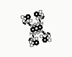 O=C1c2c(NCCN3CCOC3c3c(Cl)cccc3Cl)ccc(NCCN3CCOC3c3c(Cl)cccc3Cl)c2C(=O)c2c(NCCN3CCOC3c3c(Cl)cccc3Cl)ccc(NCCN3CCOC3c3c(Cl)cccc3Cl)c21